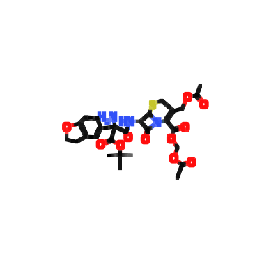 CC(=O)OCOC(=O)C1=C(COC(C)=O)CSC2C(NC(=O)C(N)(C(=O)OC(C)(C)C)c3ccc4c(c3)CCO4)C(=O)N12